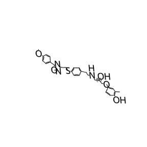 COc1ccc(-c2nc(CSc3ccc(CCNC[C@@H](O)COc4ccc(O)c(C)c4)cc3)no2)cc1